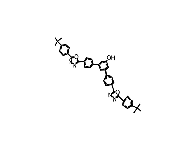 CC(C)(C)c1ccc(-c2nnc(-c3ccc(-c4cc(O)cc(-c5ccc(-c6nnc(-c7ccc(C(C)(C)C)cc7)o6)cc5)c4)cc3)o2)cc1